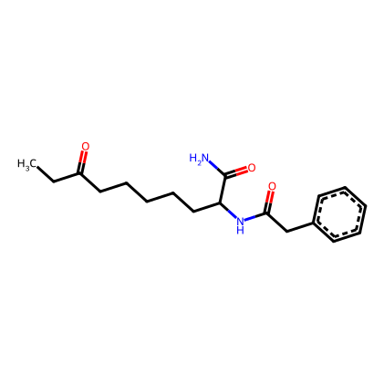 CCC(=O)CCCCCC(NC(=O)Cc1ccccc1)C(N)=O